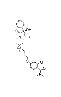 CN(C)C(=O)c1ccc(OCCC[C@H]2CC23CCN(C(=O)[C@@](O)(c2ccccc2)C(F)(F)F)CC3)cc1Cl